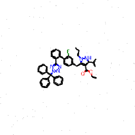 CCCN1NC(C(C)C)C(C(=O)OCC)=C1Cc1ccc(-c2ccccc2-c2nnn(C(c3ccccc3)(c3ccccc3)c3ccccc3)n2)c(F)c1